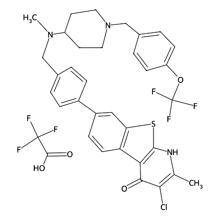 Cc1[nH]c2sc3cc(-c4ccc(CN(C)C5CCN(Cc6ccc(OC(F)(F)F)cc6)CC5)cc4)ccc3c2c(=O)c1Cl.O=C(O)C(F)(F)F